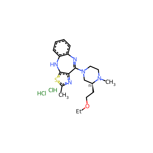 CCOCC[C@H]1CN(C2=Nc3ccccc3Nc3sc(C)nc32)CCN1C.Cl.Cl